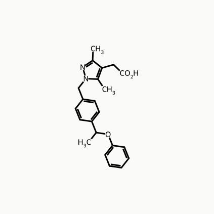 Cc1nn(Cc2ccc(C(C)Oc3ccccc3)cc2)c(C)c1CC(=O)O